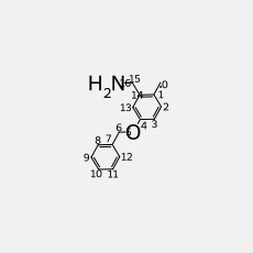 [CH2]c1ccc(OCc2ccccc2)cc1CN